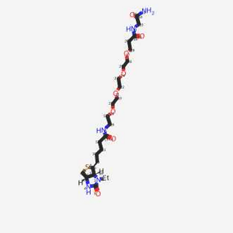 CCN1C(=O)N[C@H]2CS[C@@H](CCCCC(=O)NCCOCCOCCOCCOCCC(=O)NCC(N)=O)[C@H]21